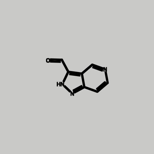 O=Cc1[nH]nc2ccncc12